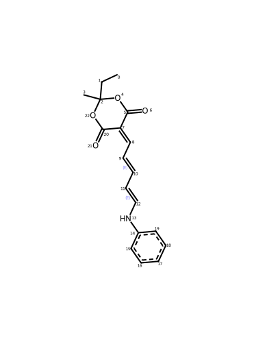 CCC1(C)OC(=O)C(=C/C=C/C=C/Nc2ccccc2)C(=O)O1